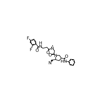 CN(CC(=O)N1CC(C(=O)Nc2ccccc2)CC1C#N)C(=O)CCNC(=O)c1ccc(F)cc1F